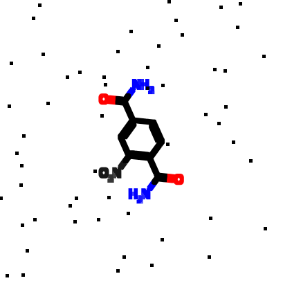 NC(=O)c1ccc(C(N)=O)c([N+](=O)[O-])c1